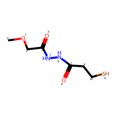 COCC(=O)NNC(=O)CCS